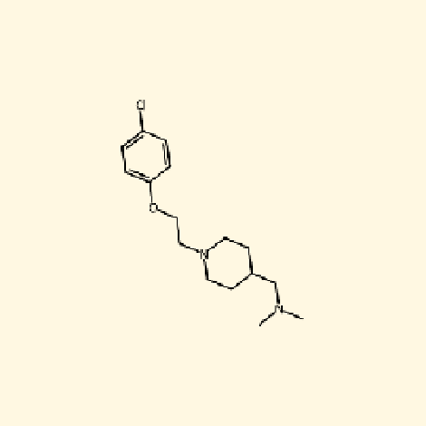 CN(C)CC1CCN(CCOc2ccc(Cl)cc2)CC1